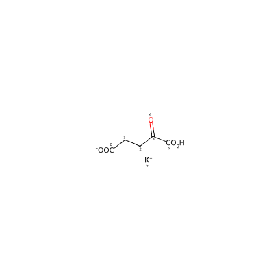 O=C([O-])CCC(=O)C(=O)O.[K+]